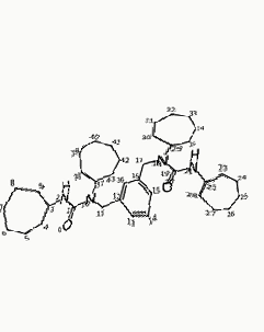 O=C(NC1CCCCCC1)N(Cc1cccc(CN(C(=O)NC2CCCCCC2)C2CCCCCC2)c1)C1CCCCCC1